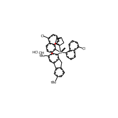 Cl.Cl.[CH2]=[Zr]([C]1=CC=CC1)([c]1cc(C(C)(C)C)cc2c1Cc1ccc(C(C)(C)C)cc1-2)([c]1cccc2c(Cl)cccc12)[c]1cccc2c(Cl)cccc12